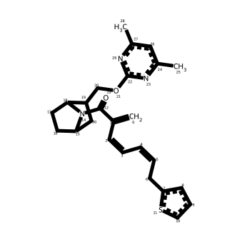 C=C(/C=C\C=C/Cc1cccs1)C(=O)N1C2CCC1C(COc1nc(C)cc(C)n1)C2